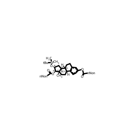 CCCCCCCCCC(=O)Oc1ccc2c(c1)CC[C@@H]1[C@@H]2CC[C@@]2(C)[C@H]1C[C@@H](O[Si](C)(C)C(C)(C)C)[C@@H]2OC(=O)CCCCCCCCC